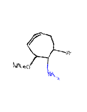 COC1C=CCC(C(C)C)C1N